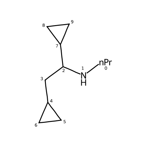 CCCNC(CC1CC1)C1CC1